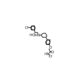 CCNC(=O)COc1ccc(C2CCCC(NC[C@H](O)c3cccc(Cl)c3)C2)cc1